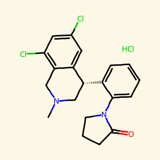 CN1Cc2c(Cl)cc(Cl)cc2[C@H](c2ccccc2N2CCCC2=O)C1.Cl